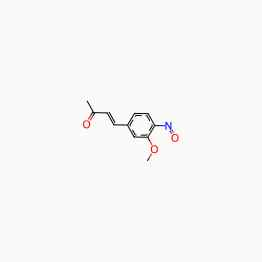 COc1cc(/C=C/C(C)=O)ccc1N=O